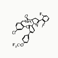 O=C(NCc1ccc(Cl)cc1Cl)[C@H]1CC(c2c(F)cccc2F)=N[C@H]1c1ccc(-c2ccc(OC(F)(F)F)cc2)cc1